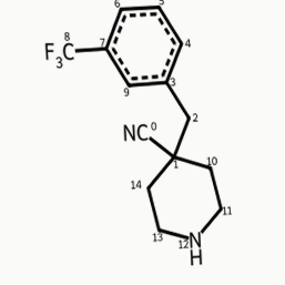 N#CC1(Cc2cccc(C(F)(F)F)c2)CCNCC1